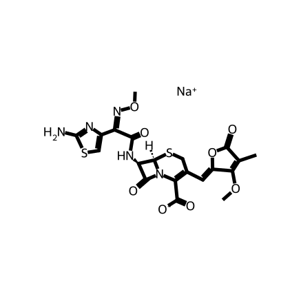 CO/N=C(\C(=O)N[C@@H]1C(=O)N2C(C(=O)[O-])=C(/C=C3\OC(=O)C(C)=C3OC)CS[C@H]12)c1csc(N)n1.[Na+]